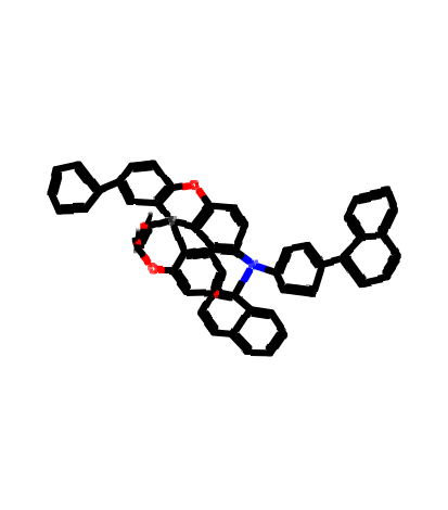 c1ccc(-c2ccc3c(c2)[Si]2(c4ccccc4Oc4ccccc42)c2cc(N(c4ccc(-c5cccc6ccccc56)cc4)c4cccc5ccccc45)ccc2O3)cc1